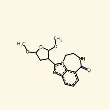 COC1CC(c2nc3cccc4c3n2CCNC4=O)C(OC)O1